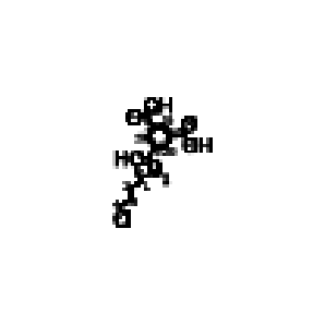 CCCCCCl.O=C(O)c1cc(C(=O)O)cc(C(=O)O)c1